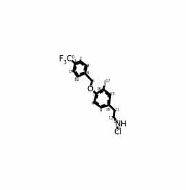 FC(F)(F)c1ccc(COc2ccc(CCNCl)cc2I)cc1